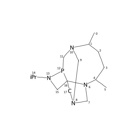 CC1CCC(C)N2CN3CN1CP1N(C(C)C)CC21C3